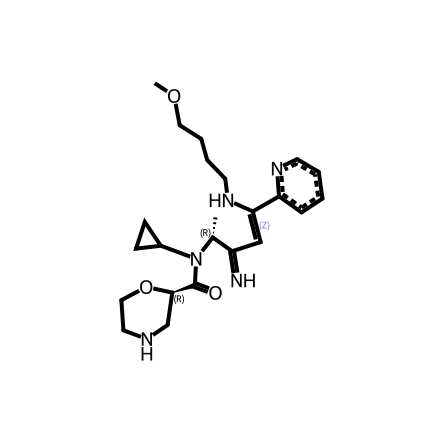 COCCCCN/C(=C\C(=N)[C@@H](C)N(C(=O)[C@H]1CNCCO1)C1CC1)c1ccccn1